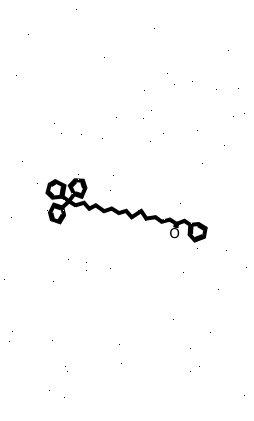 O=C(CCCCCCCCCCCCCCC(c1ccccc1)(c1ccccc1)c1ccccc1)Cc1ccccc1